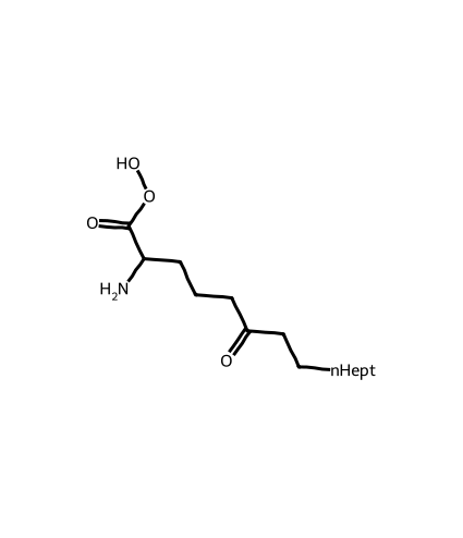 CCCCCCCCCC(=O)CCCC(N)C(=O)OO